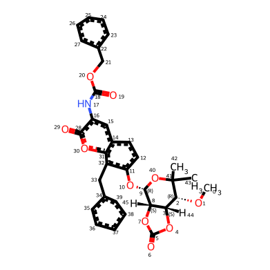 CO[C@@H]1[C@@H]2OC(=O)O[C@@H]2[C@H](Oc2ccc3cc(NC(=O)OCc4ccccc4)c(=O)oc3c2Cc2ccccc2)OC1(C)C